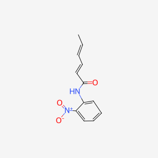 CC=CC=CC(=O)Nc1ccccc1[N+](=O)[O-]